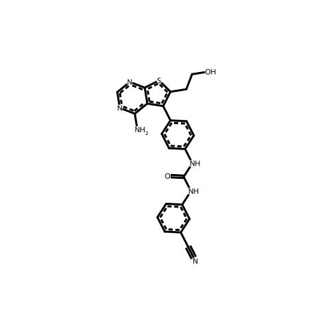 N#Cc1cccc(NC(=O)Nc2ccc(-c3c(CCO)sc4ncnc(N)c34)cc2)c1